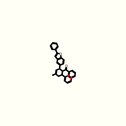 CC1=CC(c2ccc3oc(-c4ccccc4)cc3c2)C(C(=O)c2ccccc2)C(c2ccccc2)C1